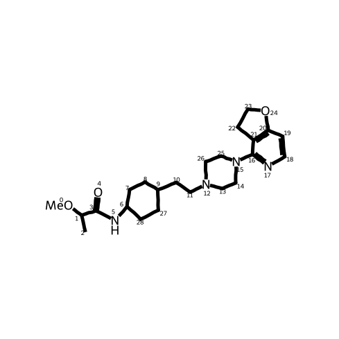 COC(C)C(=O)NC1CCC(CCN2CCN(c3nccc4c3CCO4)CC2)CC1